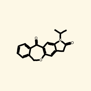 CC(C)N1C(=O)Cc2cc3c(cc21)C(=O)c1ccccc1CO3